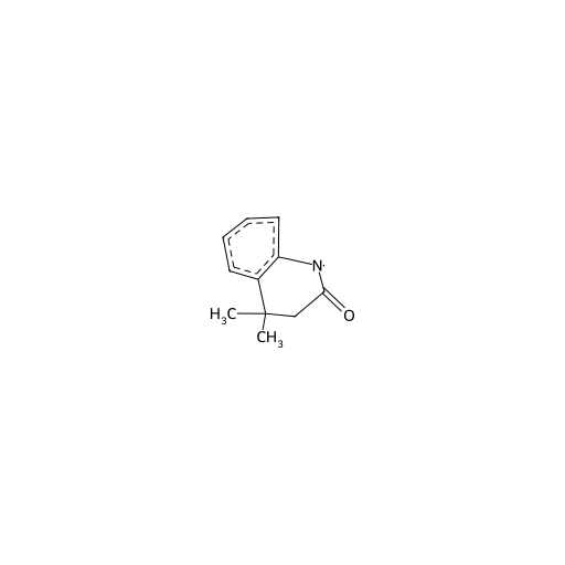 CC1(C)CC(=O)[N]c2ccccc21